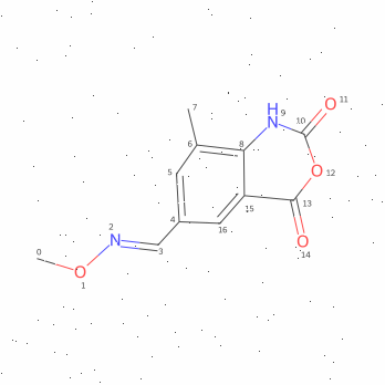 CON=Cc1cc(C)c2[nH]c(=O)oc(=O)c2c1